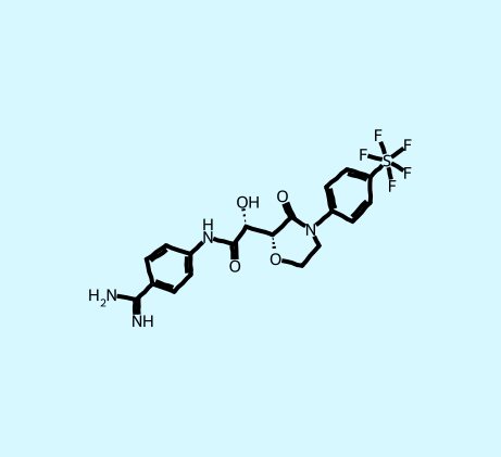 N=C(N)c1ccc(NC(=O)[C@H](O)[C@H]2OCCN(c3ccc(S(F)(F)(F)(F)F)cc3)C2=O)cc1